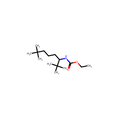 CCOC(=O)NC(CCCC(C)(C)C)C(C)(C)C